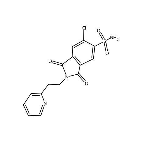 NS(=O)(=O)c1cc2c(cc1Cl)C(=O)N(CCc1ccccn1)C2=O